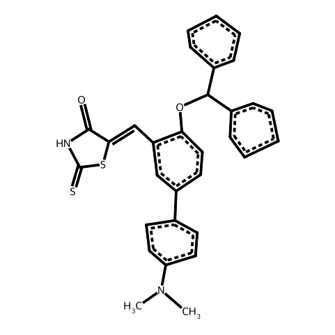 CN(C)c1ccc(-c2ccc(OC(c3ccccc3)c3ccccc3)c(C=C3SC(=S)NC3=O)c2)cc1